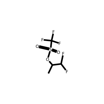 CC(OS(=O)(=O)C(F)(F)F)C(F)F